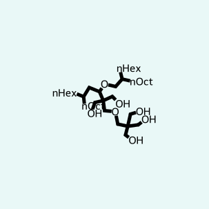 CCCCCCCCC(CCCCCC)COC(CC(CCCCCC)CCCCCCCC)C(CO)(CO)COCC(CO)(CO)CO